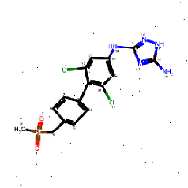 CS(=O)(=O)Cc1ccc(-c2c(Cl)cc(Nc3n[nH]c(N)n3)cc2Cl)cc1